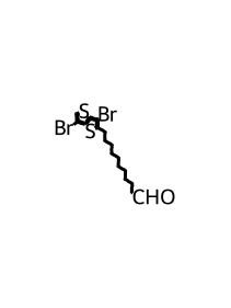 O=CCCCCCCCCCCc1sc2c(Br)csc2c1Br